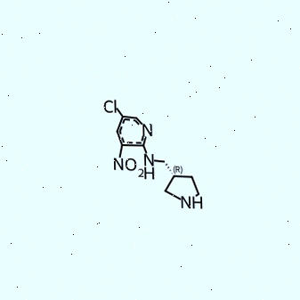 O=[N+]([O-])c1cc(Cl)cnc1NC[C@@H]1CCNC1